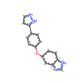 c1cc(-c2ccc(Oc3ccc4[nH]cnc4c3)cc2)[nH]n1